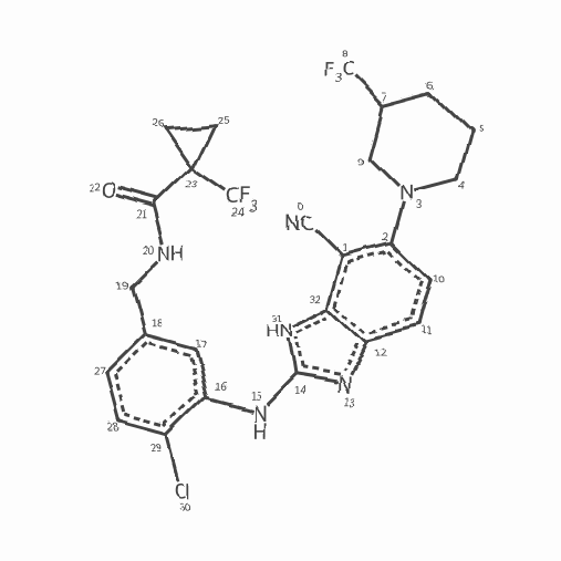 N#Cc1c(N2CCCC(C(F)(F)F)C2)ccc2nc(Nc3cc(CNC(=O)C4(C(F)(F)F)CC4)ccc3Cl)[nH]c12